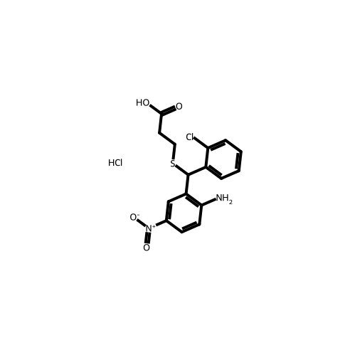 Cl.Nc1ccc([N+](=O)[O-])cc1C(SCCC(=O)O)c1ccccc1Cl